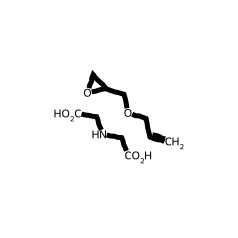 C=CCOCC1CO1.O=C(O)CNCC(=O)O